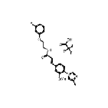 COc1cc(/C=C/C(=O)NCCOc2cccc(F)c2)ccc1-n1cnc(C)c1.O=C(O)C(F)(F)F